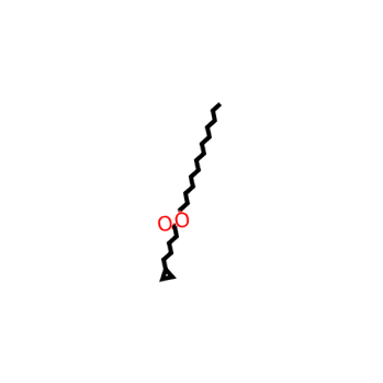 CCCCCCCCCCCCCCOC(=O)CCCCC1CC1